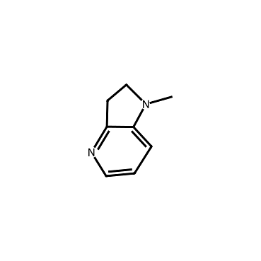 CN1CCc2ncccc21